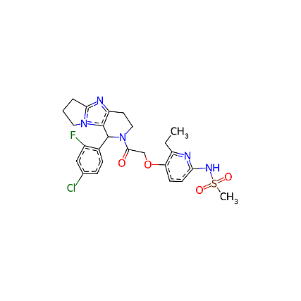 CCc1nc(NS(C)(=O)=O)ccc1OCC(=O)N1CCc2nc3n(c2C1c1ccc(Cl)cc1F)CCC3